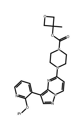 CC(C)Oc1ncccc1-c1cnn2ccc(N3CCN(C(=O)OC4(C)COC4)CC3)nc12